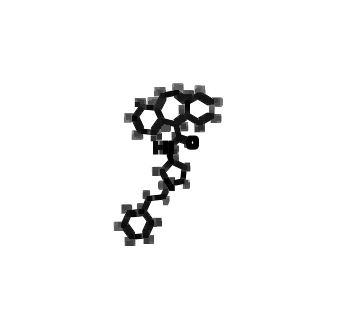 O=C(N[C@H]1CCN(CCc2ccccc2)C1)C1=c2ccccc2=CC=C2CC=CC=C21